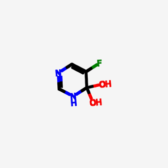 OC1(O)NC=NC=C1F